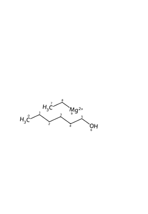 CCCCCCO.C[CH2][Mg+2]